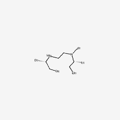 CC[C@@H](CO)NCCN(C(C)C)[C@H](CC)CO